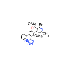 CCc1nc(C)c(OC)c(-c2ccc(-c3ccccc3)c(-c3nnn[nH]3)c2)c1C(=O)OC